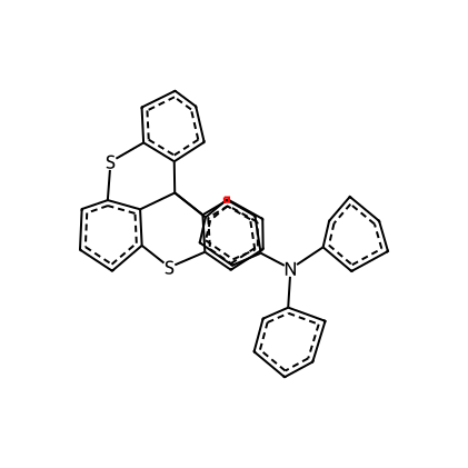 c1ccc(N(c2ccccc2)c2ccc(C34c5ccccc5Sc5cccc(c53)Sc3ccccc34)cc2)cc1